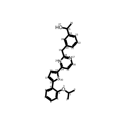 CC(C)Oc1ccccc1-c1ccc(-c2ccnc(Cc3cccc(C(C)O)c3)n2)s1